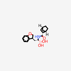 O=C(N[C@@H](C[C@@H]1COc2ccccc21)B(O)O)[C@@H]1C[C@H]2CC[C@@H]1C2